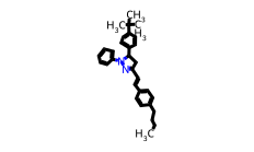 CCCCc1ccc(C=CC2=NN(c3ccccc3)C(c3ccc(C(C)(C)C)cc3)C2)cc1